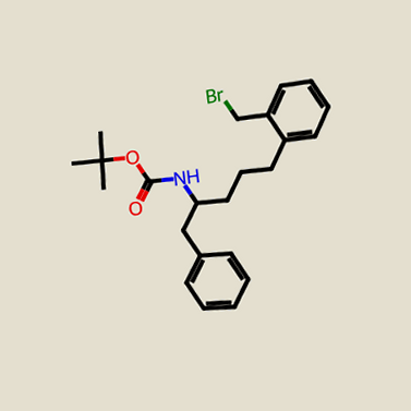 CC(C)(C)OC(=O)NC(CCCc1ccccc1CBr)Cc1ccccc1